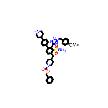 COc1ccc(Cn2nnc(-c3c(-c4ccc(C5CCNCC5)cc4)ccc(CC4CCN(C(=O)OCc5ccccc5)CC4)c3S(N)(=O)=O)n2)cc1